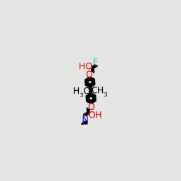 CC(C)(c1ccc(OCC(O)CF)cc1)c1ccc(OCC(O)CN2CC2)cc1